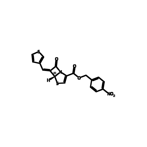 O=C(OCc1ccc([N+](=O)[O-])cc1)C1=CS[C@@H]2C(=Cc3ccsc3)C(=O)N12